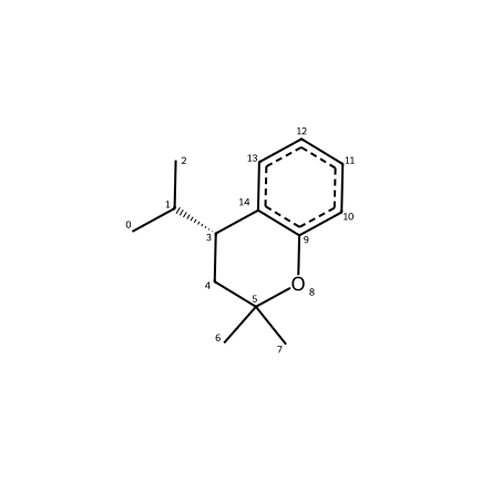 CC(C)[C@H]1CC(C)(C)Oc2ccccc21